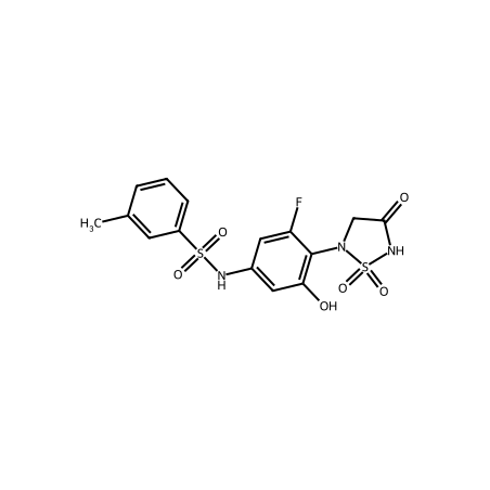 Cc1cccc(S(=O)(=O)Nc2cc(O)c(N3CC(=O)NS3(=O)=O)c(F)c2)c1